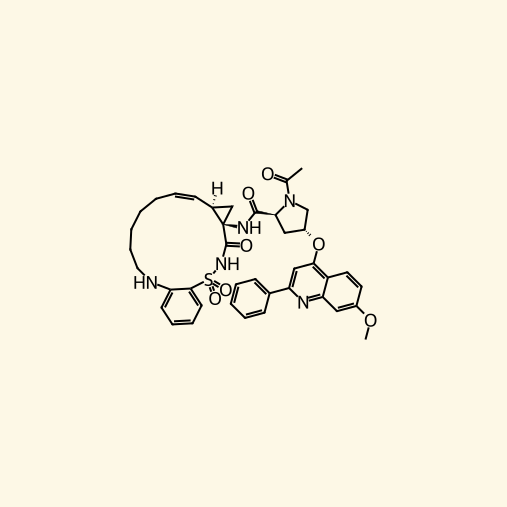 COc1ccc2c(O[C@@H]3C[C@@H](C(=O)N[C@]45C[C@@H]4/C=C\CCCCCNc4ccccc4S(=O)(=O)NC5=O)N(C(C)=O)C3)cc(-c3ccccc3)nc2c1